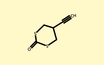 C#CC1CSC(=O)SC1